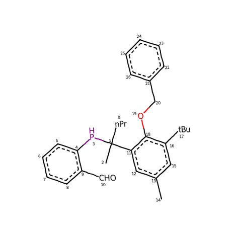 CCCC(C)(Pc1ccccc1C=O)c1cc(C)cc(C(C)(C)C)c1OCc1ccccc1